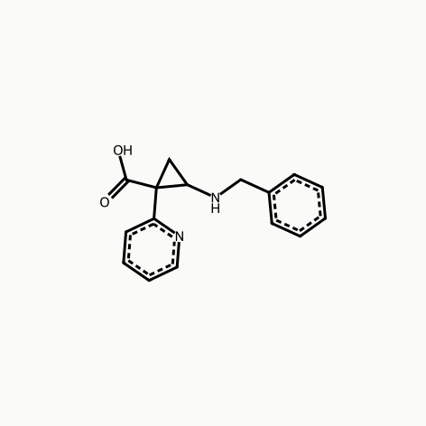 O=C(O)C1(c2ccccn2)CC1NCc1ccccc1